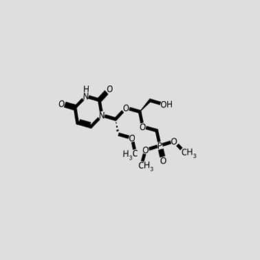 COC[C@@H](O[C@@H](CO)OCP(=O)(OC)OC)n1ccc(=O)[nH]c1=O